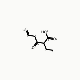 CCC(C(=O)O)C(=O)CC=O